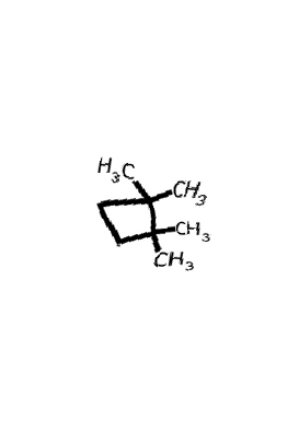 CC1(C)[CH]CC1(C)C